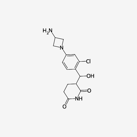 NC1CN(c2ccc(C(O)C3CCC(=O)NC3=O)c(Cl)c2)C1